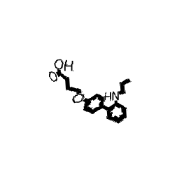 CCCNc1ccccc1-c1ccc(OCCCC(=O)O)cc1